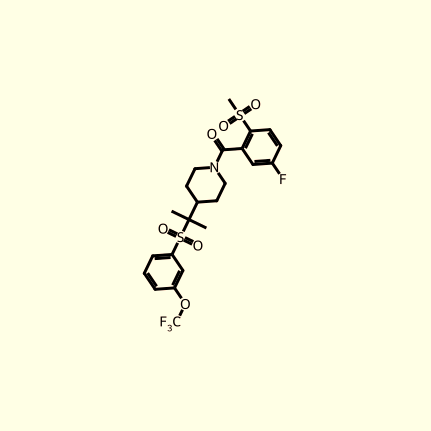 CC(C)(C1CCN(C(=O)c2cc(F)ccc2S(C)(=O)=O)CC1)S(=O)(=O)c1cccc(OC(F)(F)F)c1